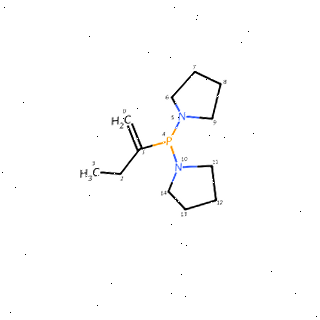 C=C(CC)P(N1CCCC1)N1CCCC1